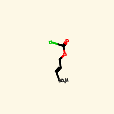 O=C(Cl)OCC=CS(=O)(=O)O